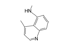 CNc1cccc2nccc(C)c12